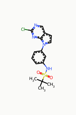 CC(C)(C)S(=O)(=O)Nc1cccc(-n2ccc3cnc(Cl)nc32)c1